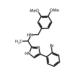 COc1ccc(CNC(C)c2nc(-c3ccccc3Br)c[nH]2)cc1OC